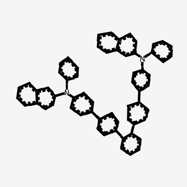 c1ccc(N(c2ccc(-c3ccc(-c4ccccc4-c4ccc(-c5ccc(N(c6ccccc6)c6ccc7ccccc7c6)cc5)cc4)cc3)cc2)c2ccc3ccccc3c2)cc1